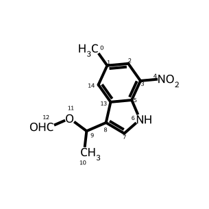 Cc1cc([N+](=O)[O-])c2[nH]cc(C(C)OC=O)c2c1